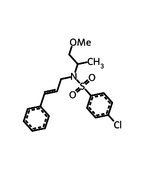 COCC(C)N(C/C=C/c1ccccc1)S(=O)(=O)c1ccc(Cl)cc1